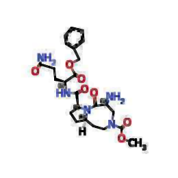 COC(=O)N1CC[C@H]2CC[C@@H](C(=O)N[C@@H](CCC(N)=O)C(=O)OCc3ccccc3)N2C(=O)[C@@H](N)C1